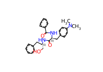 CN(C)c1ccc(C[C@H](NC(=O)c2ccccc2)C(=O)N[C@H](CO)Cc2ccccc2)cc1